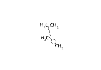 C=CC(=C)CCCCC(=C)C1CCC(C)CC1